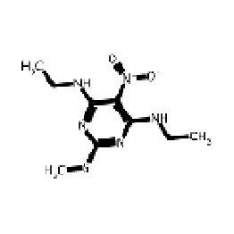 CCNc1nc(SC)nc(NCC)c1[N+](=O)[O-]